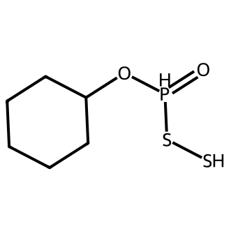 O=[PH](OC1CCCCC1)SS